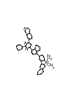 CC1(C)c2ccc(-c3ccc(-c4cc(-c5ccc6ccncc6c5)nc(-c5ccccc5)n4)c4ccccc34)cc2-c2cc3ccccc3cc21